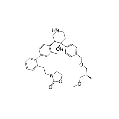 COC[C@H](C)COCc1ccc([C@@]2(O)CCNC[C@@H]2c2ccc(-c3ccccc3CCN3CCOC3=O)cc2C)cc1